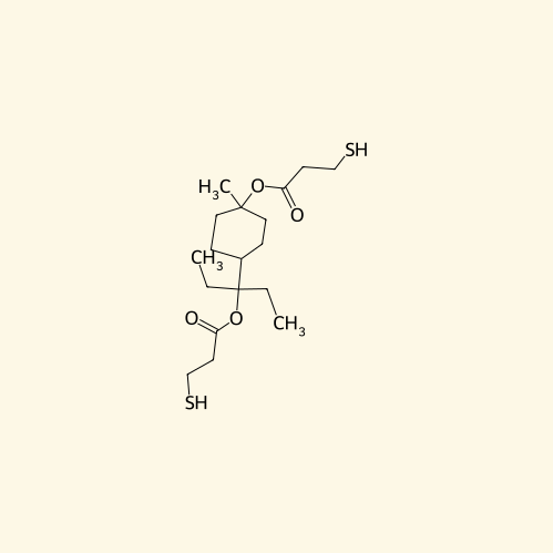 CCC(CC)(OC(=O)CCS)C1CCC(C)(OC(=O)CCS)CC1